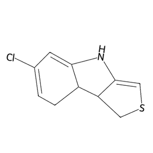 ClC1=CCC2C(=C1)NC1=CSCC12